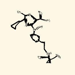 CCc1nc(C(N)=O)c(Nc2cccc(CCNC(=O)C3(NC)CC3)c2)nc1C1CC1